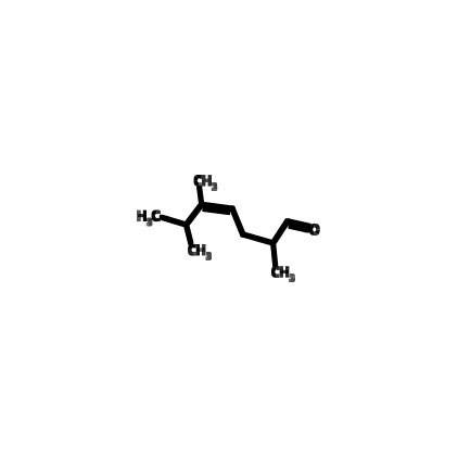 CC(=CCC(C)C=O)C(C)C